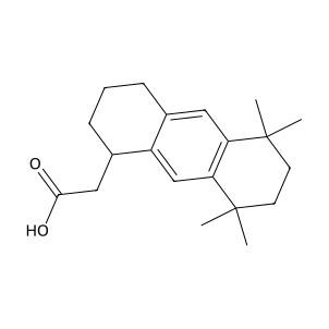 CC1(C)CCC(C)(C)c2cc3c(cc21)CCCC3CC(=O)O